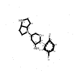 N[C@H]1C[C@@H](N2CCC3NCCC32)CO[C@@H]1c1cc(F)ccc1F